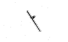 CCCCCCCCCCCCCCCCC(C=[NH+][O-])CCCCCCCCCC